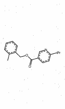 Cc1ccccc1COC(=O)c1ccc(C(C)C)nc1